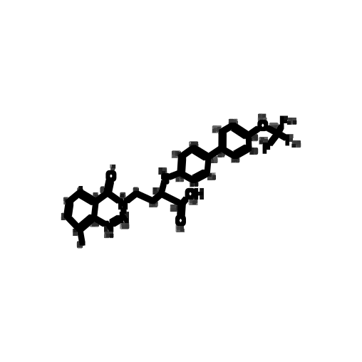 Cc1cccc2c(=O)n(CCC(Sc3ccc(-c4ccc(OC(F)(F)F)cc4)cc3)C(=O)O)nnc12